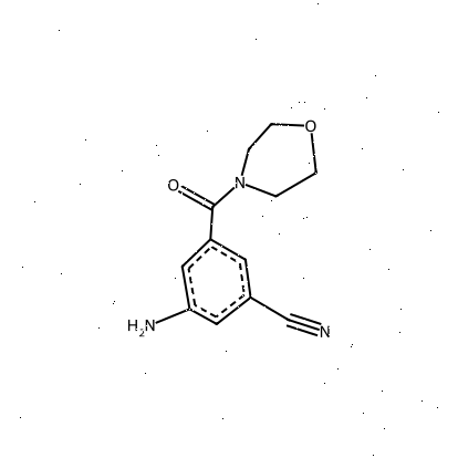 N#Cc1cc(N)cc(C(=O)N2CCOCC2)c1